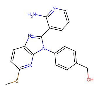 CSc1ccc2nc(-c3cccnc3N)n(-c3ccc(CO)cc3)c2n1